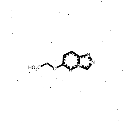 O=C(O)COc1ccc2nncn2n1